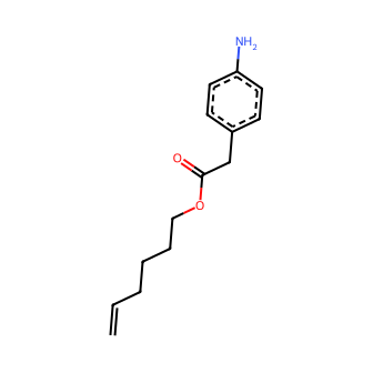 C=CCCCCOC(=O)Cc1ccc(N)cc1